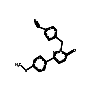 CSc1ccc(-c2ccc(=O)n(Cc3ccc(C#N)cc3)n2)cc1